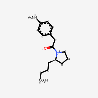 CC(=O)Nc1ccc(CC(=O)N2CCC[C@H]2CCCC(=O)O)cc1